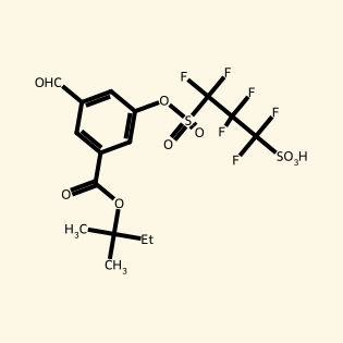 CCC(C)(C)OC(=O)c1cc(C=O)cc(OS(=O)(=O)C(F)(F)C(F)(F)C(F)(F)S(=O)(=O)O)c1